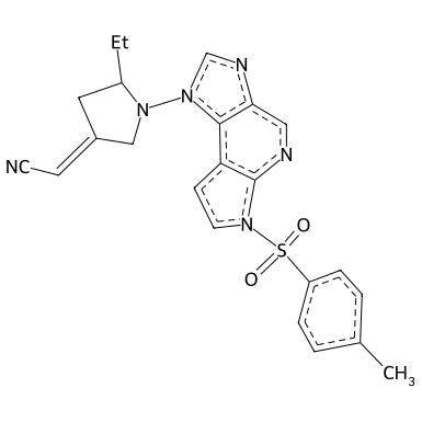 CCC1CC(=CC#N)CN1n1cnc2cnc3c(ccn3S(=O)(=O)c3ccc(C)cc3)c21